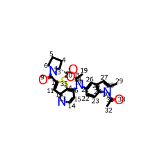 COC[C@H]1CCCN1C(=O)c1cc2nccc(N(C(C)=O)c3ccc4c(c3)cc(C)n4C(C)=O)c2s1